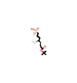 CC(C)(C)OC(=O)CCC(N)CCCS(=O)(=O)O